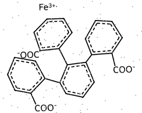 O=C([O-])c1ccccc1-c1cccc(-c2ccccc2C(=O)[O-])c1-c1ccccc1C(=O)[O-].[Fe+3]